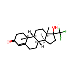 C[C@]12CCC(=O)C=C1CC[C@@H]1[C@H]2CC[C@@]2(C)[C@H]1CCC2(O)C(F)(F)F